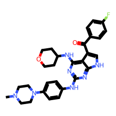 CN1CCN(c2ccc(Nc3nc(NC4CCOCC4)c4c(C(=O)c5ccc(F)cc5)c[nH]c4n3)cc2)CC1